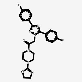 O=C(Cn1nc(-c2ccc(F)cc2)nc1-c1ccc(F)cc1)N1CCN(C2=NCCO2)CC1